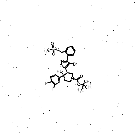 CC(C)(C)OC(=O)N1CC[C@](O)(c2ccc(F)c(F)c2)[C@@H](c2onc(-c3ccccc3COS(C)(=O)=O)c2Br)C1